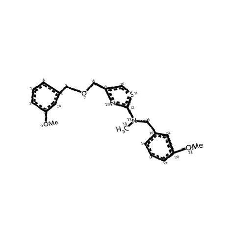 COc1cccc(COCc2csc(N(C)Cc3cccc(OC)c3)n2)c1